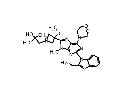 CCc1nc2ccccc2n1-c1nc(N2CCOCC2)c2nc(C3(OC)CN(CC(C)(C)O)C3)n(C)c2n1